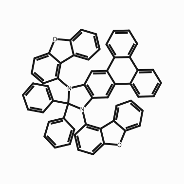 c1ccc(C2(c3ccccc3)N(c3cccc4oc5ccccc5c34)c3cc4c5ccccc5c5ccccc5c4cc3N2c2cccc3oc4ccccc4c23)cc1